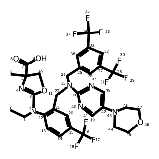 CCN(C1=NC(C)(C(=O)O)CO1)c1ccc(C(F)(F)F)cc1CN(Cc1cc(C(F)(F)F)cc(C(F)(F)F)c1)c1ncc(N2CCOCC2)cn1